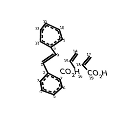 C(=Cc1ccccc1)c1ccccc1.C=CC(=O)O.C=CC(=O)O